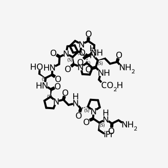 CC(C)C[C@H](NC(=O)CN)C(=O)N1CCC[C@H]1C(=O)NCC(=O)N1CCC[C@H]1C(=O)N[C@@H](CO)C(=O)NCC(=O)N1CCC[C@H]1C(=O)N1CCC[C@H]1C(=O)NCC(=O)N1CCC[C@H]1C(=O)N[C@@H](CCC(N)=O)C(=O)NCC(=O)O